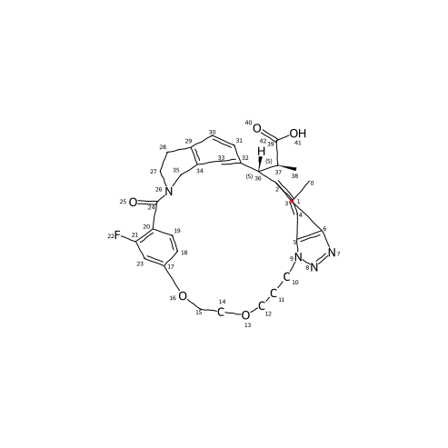 Cc1c2ccc3c1nnn3CCCOCCOc1ccc(c(F)c1)C(=O)N1CCc3ccc(cc3C1)[C@@H]2[C@H](C)C(=O)O